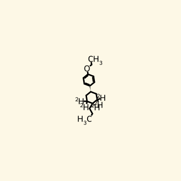 [2H]C1([2H])C[C@H](c2ccc(OCC)cc2)CC([2H])([2H])[C@@]1([2H])CCC